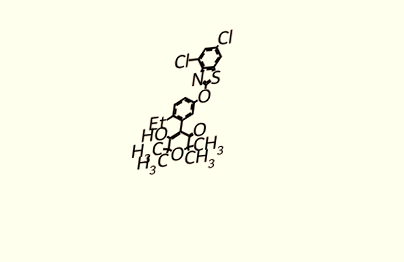 CCc1ccc(Oc2nc3c(Cl)cc(Cl)cc3s2)cc1C1=C(O)C(C)(C)OC(C)(C)C1=O